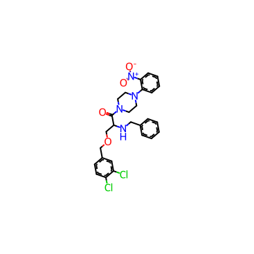 O=C(C(COCc1ccc(Cl)c(Cl)c1)NCc1ccccc1)N1CCN(c2ccccc2[N+](=O)[O-])CC1